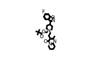 Cc1nc2n(c(=O)c1CC[N+]1(COC(=O)C(C)(C)C)CCC(c3noc4cc(F)ccc34)CC1)CCCC2